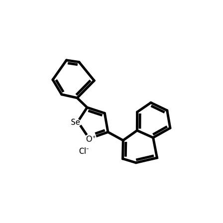 [Cl-].c1ccc(-c2cc(-c3cccc4ccccc34)[o+][se]2)cc1